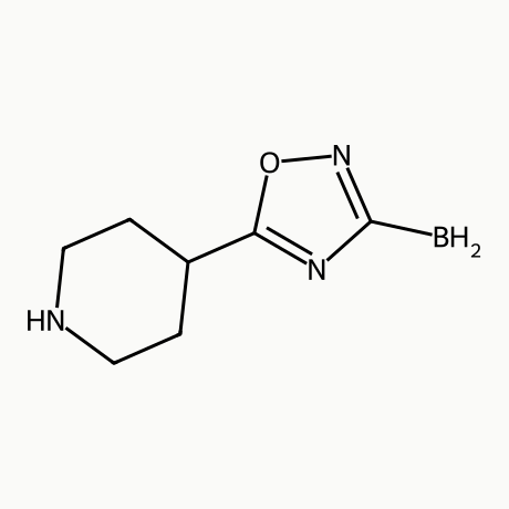 Bc1noc(C2CCNCC2)n1